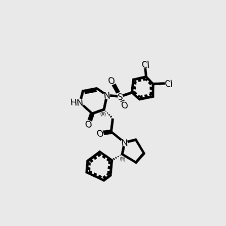 O=C1NC=CN(S(=O)(=O)c2ccc(Cl)c(Cl)c2)[C@@H]1CC(=O)N1CCC[C@@H]1c1ccccc1